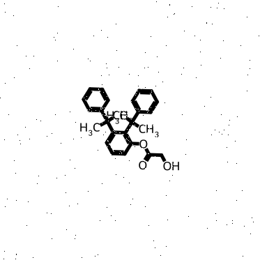 CC(C)(c1ccccc1)c1cccc(OC(=O)CO)c1C(C)(C)c1ccccc1